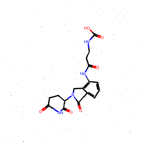 O=C(O)NCCC(=O)Nc1cccc2c1CN(C1CCC(=O)NC1=O)C2=O